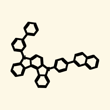 c1ccc(-c2cccc(-n3c4ccccc4c4c5c6ccccc6n(-c6ccc(-c7ccc8ccccc8c7)cc6)c5ccc43)c2)cc1